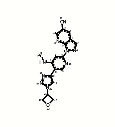 CC(C)Nc1cc(-n2ncc3cc(C#N)cnc32)ncc1-c1cn(C2COC2)nn1